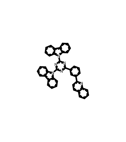 c1cc(-c2ccc3ccccc3n2)cc(-c2nc(-n3c4ccccc4c4ccccc43)nc(-n3c4ccccc4c4ccccc43)n2)c1